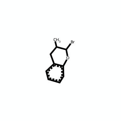 CC1Cc2ccccc2OC1Br